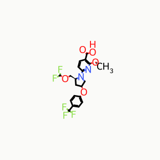 COc1nc(N2C[C@@H](Oc3ccc(C(F)(F)F)cc3)C[C@H]2COC(F)F)ccc1C(=O)O